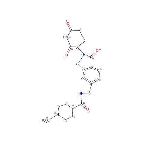 O=C1CCC(N2Cc3cc(CNC(=O)C4CCN(C(=O)O)CC4)ccc3C2=O)C(=O)N1